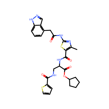 Cc1nc(NC(=O)Cc2cccc3[nH]ncc23)sc1C(=O)NC(CNC(=O)c1cccs1)C(=O)OC1CCCC1